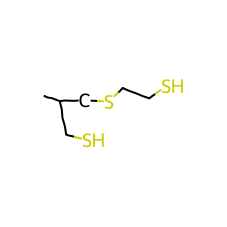 CC(CS)CSCCS